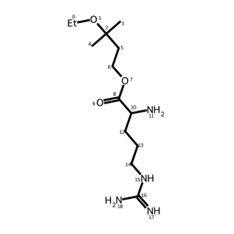 CCOC(C)(C)CCOC(=O)C(N)CCCNC(=N)N